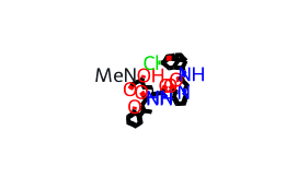 CNC(=O)C(O)CC[C@H](NC(=O)c1oc2ccccc2c1C)C(=O)Nc1cccn(CC(=O)NC2C3CC4CC2CC(Cl)(C4)C3)c1=O